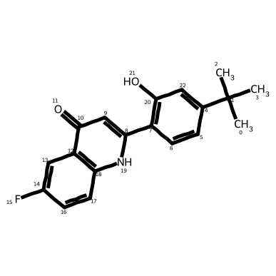 CC(C)(C)c1ccc(-c2cc(=O)c3cc(F)ccc3[nH]2)c(O)c1